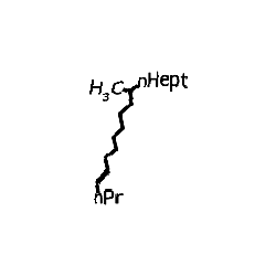 [CH2]CCC=CCCCCCCC(C)CCCCCC[CH2]